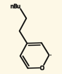 CCCCCCC1=C[CH]OC=C1